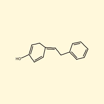 OC1=CCC(=CCc2ccccc2)C=C1